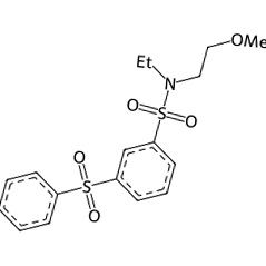 CCN(CCOC)S(=O)(=O)c1cccc(S(=O)(=O)c2ccccc2)c1